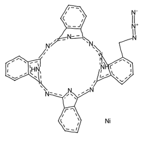 [N-]=[N+]=NCc1cccc2c3nc4nc(nc5[nH]c(nc6nc(nc([nH]3)c12)-c1ccccc1-6)c1ccccc51)-c1ccccc1-4.[Ni]